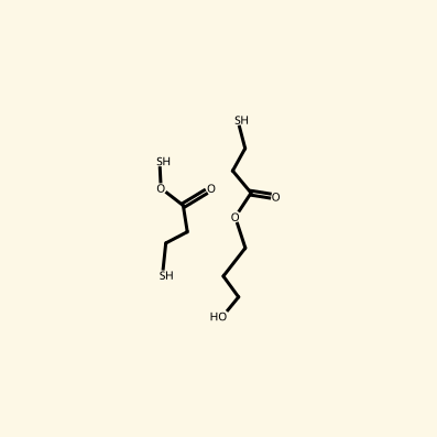 O=C(CCS)OCCCO.O=C(CCS)OS